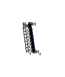 C#CC(C)(O)CC/C=C(\C)CC/C=C(\C)CC/C=C(\C)CC/C=C(\C)CC/C=C(\C)CC/C=C(\C)CC/C=C(\C)CCC=C(C)C